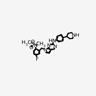 CN(c1ccc(F)cc1Cn1ccc2cnc(Nc3ccc(C4CCNCC4)cc3)nc21)S(C)(=O)=O